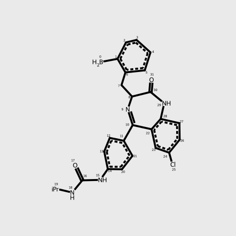 Bc1ccccc1CC1N=C(c2ccc(NC(=O)NC(C)C)cc2)c2cc(Cl)ccc2NC1=O